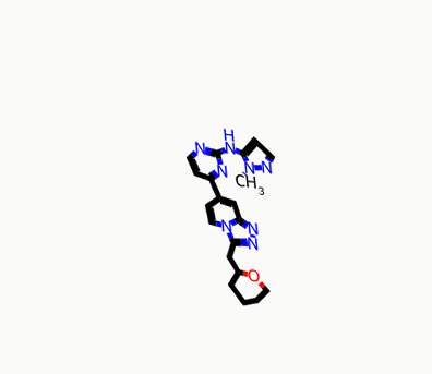 Cn1nccc1Nc1nccc(-c2ccn3c(CC4CCCCO4)nnc3c2)n1